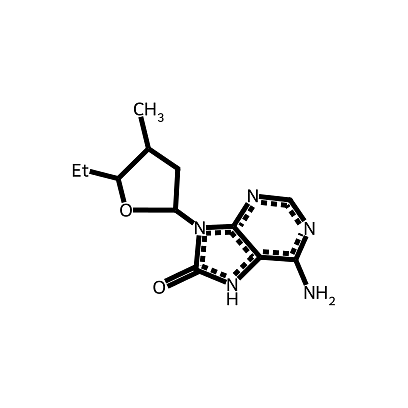 CCC1OC(n2c(=O)[nH]c3c(N)ncnc32)CC1C